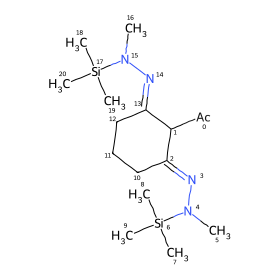 CC(=O)C1C(=NN(C)[Si](C)(C)C)CCCC1=NN(C)[Si](C)(C)C